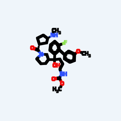 CN[C@H]1CC[C@@H](C(=O)N2CCCC(C(O)(CCCNC(=O)OC)c3cccc(F)c3-c3cccc(OC)c3)C2)C1